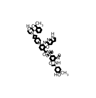 CC(C)c1ccccc1[C@H]1COCCN1C1CC2(CCN(c3ccc(C(=O)NS(=O)(=O)c4cc(N=O)c5c(c4)OCC([C@H]4CC[C@](C)(O)CC4)N5)c(Oc4cc5cc[nH]c5nc4N)c3)CC2)C1